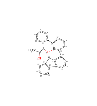 CC(O)COc1c(-c2ccccc2)cccc1-c1cccc2c1Cc1ccccc1-2